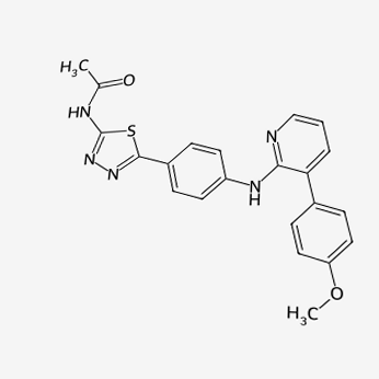 COc1ccc(-c2cccnc2Nc2ccc(-c3nnc(NC(C)=O)s3)cc2)cc1